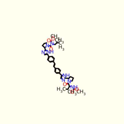 COC(=O)NC(C(=O)N1CCCC1c1ncc(-c2ccc(/C=C/c3ccc(-c4cnc(C5CCCN5C(=O)N(CC(C)C)C(=O)OC)[nH]4)cc3)cc2)[nH]1)C(C)C